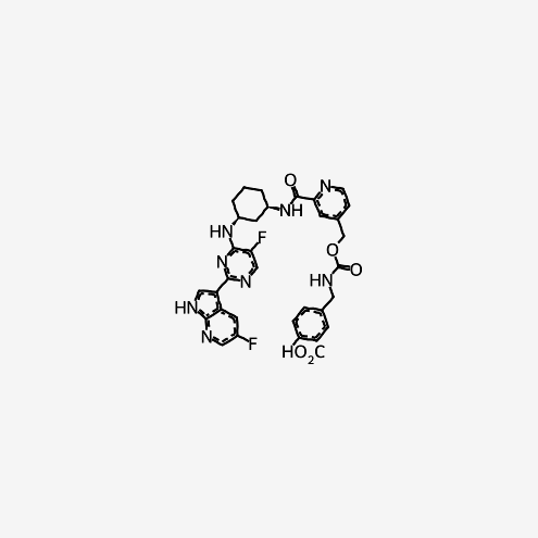 O=C(NCc1ccc(C(=O)O)cc1)OCc1ccnc(C(=O)N[C@@H]2CCC[C@H](Nc3nc(-c4c[nH]c5ncc(F)cc45)ncc3F)C2)c1